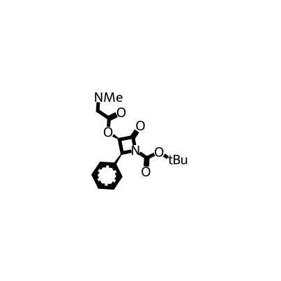 CNCC(=O)O[C@H]1C(=O)N(C(=O)OC(C)(C)C)[C@H]1c1ccccc1